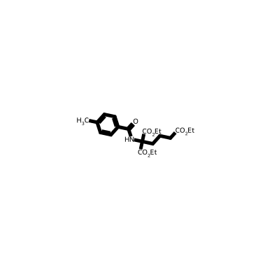 CCOC(=O)CCCC(NC(=O)c1ccc(C)cc1)(C(=O)OCC)C(=O)OCC